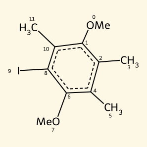 COc1c(C)c(C)c(OC)c(I)c1C